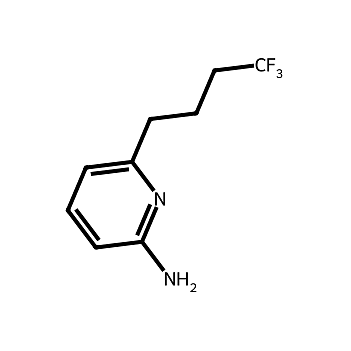 Nc1cccc(CCCC(F)(F)F)n1